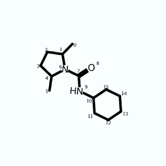 CC1CCC(C)N1C(=O)NC1CCCCC1